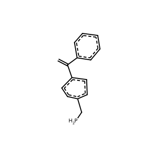 C=C(c1ccccc1)c1ccc(CP)cc1